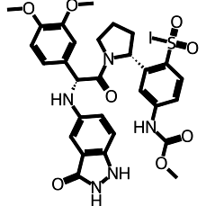 COC(=O)Nc1ccc(S(=O)(=O)I)c([C@H]2CCCN2C(=O)[C@H](Nc2ccc3[nH][nH]c(=O)c3c2)c2ccc(OC)c(OC)c2)c1